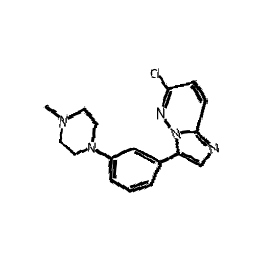 CN1CCN(c2cccc(-c3cnc4ccc(Cl)nn34)c2)CC1